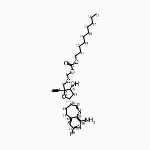 C#C[C@]1(COCOC(=O)OCCCCCCCCCC)O[C@@H](C2C=Nc3c(N)nc(F)nc3CC2)C[C@@H]1O